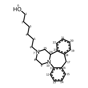 OCCCCCCN1CCN2c3ccccc3Cc3ccccc3C2C1